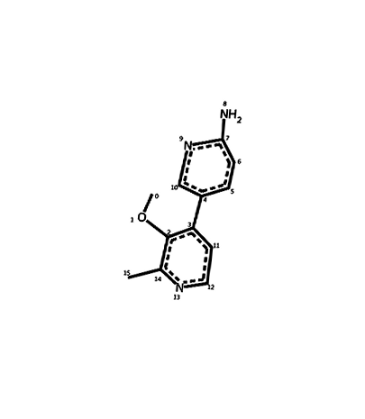 COc1c(-c2ccc(N)nc2)ccnc1C